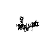 CCC(C)C(NC(=O)C(CC(C)C)NC(=O)OCc1ccccc1)C(=O)C(=O)NCC(=O)NC(Cc1cccc(F)c1)C(N)=O